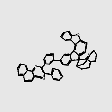 c1ccc(-c2nc3ccc4ccccc4c3nc2-c2cccc(-c3ccc4c(c3)-c3c(ccc5oc6ccccc6c35)C43C4CCC5CCC(C4)CC53)c2)cc1